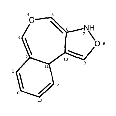 C1=CC2=COC=C3NOC=C3C2C=C1